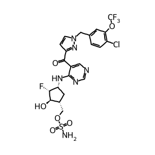 NS(=O)(=O)OC[C@H]1C[C@@H](Nc2ncncc2C(=O)c2ccn(Cc3ccc(Cl)c(OC(F)(F)F)c3)n2)[C@@H](F)[C@@H]1O